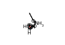 CCCCCCCCCCOc1cccc(CCC(=O)N(CCOP(=O)(O)O)Cc2ccc(NC)cc2)c1.N